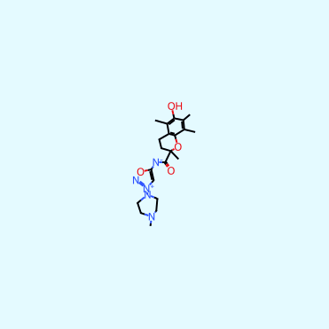 Cc1c(C)c2c(c(C)c1O)CCC(C)(C(=O)[N-]c1c[n+](N3CCN(C)CC3)no1)O2